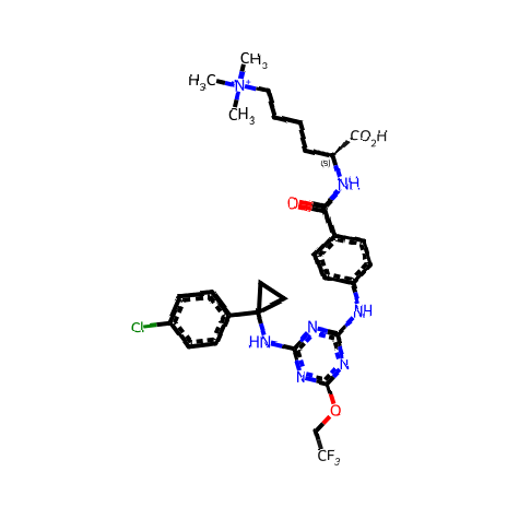 C[N+](C)(C)CCCC[C@H](NC(=O)c1ccc(Nc2nc(NC3(c4ccc(Cl)cc4)CC3)nc(OCC(F)(F)F)n2)cc1)C(=O)O